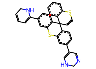 C1=CCNC(c2ccc3c(c2)Sc2cc(C4=CNCN=C4)ccc2C32c3ccccc3Sc3ccccc32)=C1